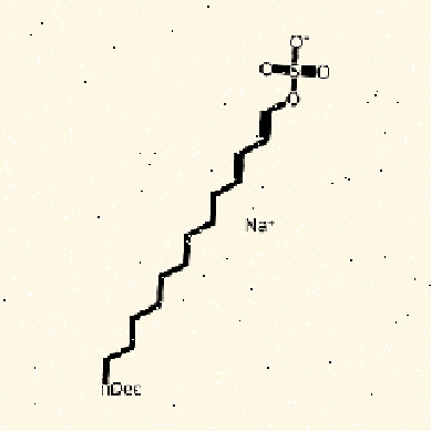 CCCCCCCCCCCCCCCCCCCC=CC=COS(=O)(=O)[O-].[Na+]